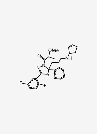 CO[C@@H](C)C(=O)N1N=C(c2cc(F)ccc2F)SC1(CCCNC1C=CCC1)c1ccccc1